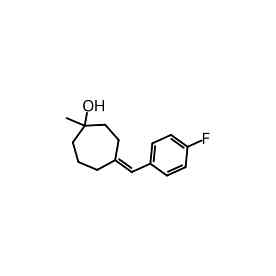 CC1(O)CCC/C(=C/c2ccc(F)cc2)CC1